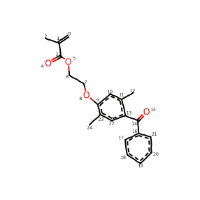 C=C(C)C(=O)OCCOc1cc(C)c(C(=O)c2ccccc2)cc1C